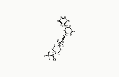 CC(C)(C)C(=O)N1CCN(C(C)(C)C#Cc2cccc(-c3ccccc3)c2)CC1